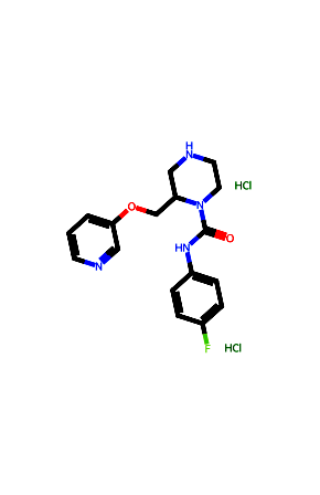 Cl.Cl.O=C(Nc1ccc(F)cc1)N1CCNCC1COc1cccnc1